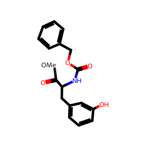 COC(=O)C(Cc1cccc(O)c1)NC(=O)OCc1ccccc1